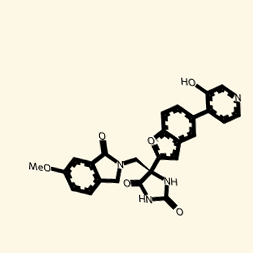 COc1ccc2c(c1)C(=O)N(C[C@@]1(c3cc4cc(-c5ccncc5O)ccc4o3)NC(=O)NC1=O)C2